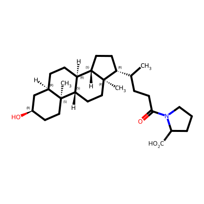 CC(CCC(=O)N1CCCC1C(=O)O)[C@H]1CC[C@H]2[C@@H]3CC[C@@H]4C[C@H](O)CC[C@]4(C)[C@H]3CC[C@]12C